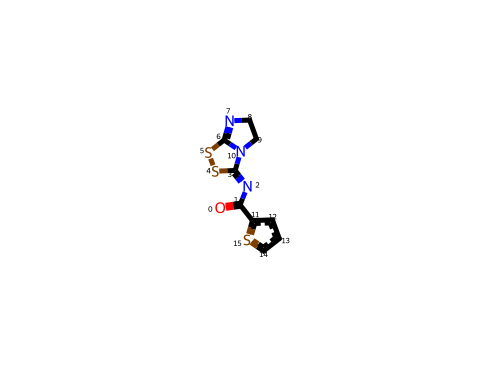 O=C(N=C1SSC2=NCCN21)c1cccs1